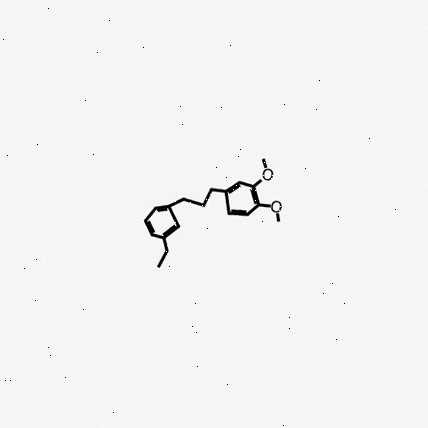 CCc1cccc(CCCc2ccc(OC)c(OC)c2)c1